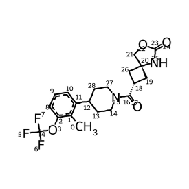 Cc1c(OC(F)(F)F)cccc1C1CCN(C(=O)[C@H]2C[C@]3(COC(=O)N3)C2)CC1